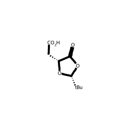 CC(C)(C)[C@H]1OC(=O)[C@@H](CC(=O)O)O1